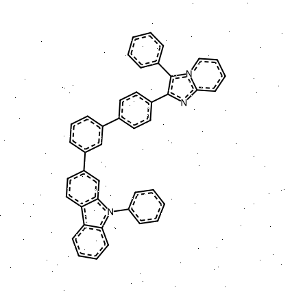 c1ccc(-c2c(-c3ccc(-c4cccc(-c5ccc6c7ccccc7n(-c7ccccc7)c6c5)c4)cc3)nc3ccccn23)cc1